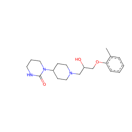 Cc1ccccc1OCC(O)CN1CCC(N2CCCNC2=O)CC1